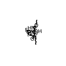 CCCCCN1CC(C(=O)N[C@@H](Cc2cc(F)cc(F)c2)[C@H](O)[C@H]2C[C@@H](OCCCC)CN2)C(C2CC2)C1=O